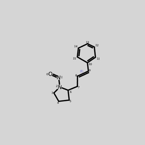 O=NN1CCCC1C/C=C/c1ccccc1